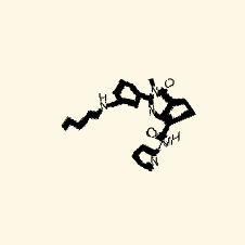 CCCCCNCc1cccc(-c2nc3c(C(=O)Nc4ccccn4)cccc3c(=O)n2C)c1